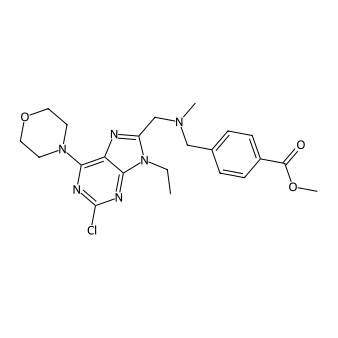 CCn1c(CN(C)Cc2ccc(C(=O)OC)cc2)nc2c(N3CCOCC3)nc(Cl)nc21